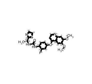 COc1cc2nccc(Oc3ccc(NC(=O)N[C@H](C)c4nccs4)c(F)c3)c2cc1OC